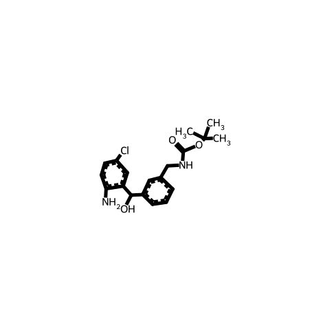 CC(C)(C)OC(=O)NCc1cccc(C(O)c2cc(Cl)ccc2N)c1